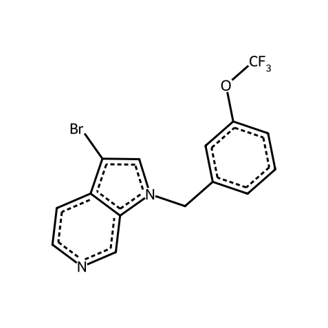 FC(F)(F)Oc1cccc(Cn2cc(Br)c3ccncc32)c1